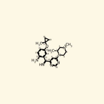 C[C@H]1CN(C)CCN1c1cc(C(=N)c2cc(OC3(C)CC3)ccc2N)ncn1